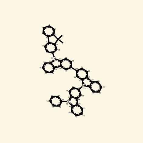 CC1(C)c2ccccc2-c2ccc(-n3c4ccccc4c4cc(-c5ccc6c7ccccc7n(-c7ccc8c(c7)c7ccccc7n8-c7ccccc7)c6c5)ccc43)cc21